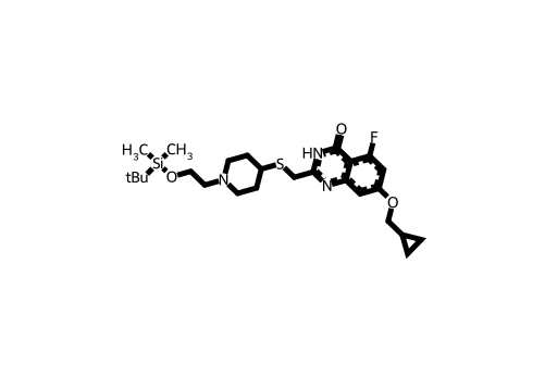 CC(C)(C)[Si](C)(C)OCCN1CCC(SCc2nc3cc(OCC4CC4)cc(F)c3c(=O)[nH]2)CC1